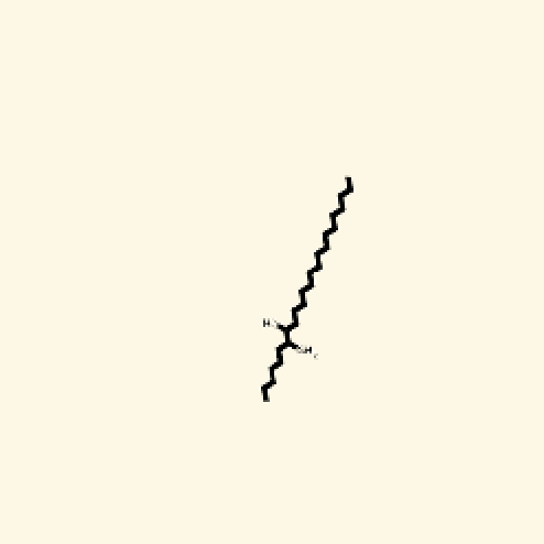 CCCCCCCCCCCCCCCCC(O)C(N)CCCCCC